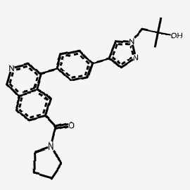 CC(C)(O)Cn1cc(-c2ccc(-c3cncc4ccc(C(=O)N5CCCC5)cc34)cc2)cn1